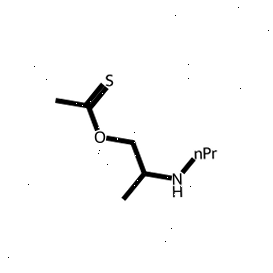 CCCNC(C)COC(C)=S